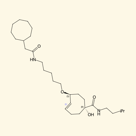 CC(C)CCNC(=O)[C@@]1(O)CC/C=C/[C@@H](OCCCCCNC(=O)CC2CCCCCCC2)CC1